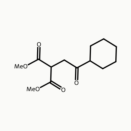 COC(=O)C(CC(=O)C1CCCCC1)C(=O)OC